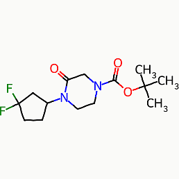 CC(C)(C)OC(=O)N1CCN(C2CCC(F)(F)C2)C(=O)C1